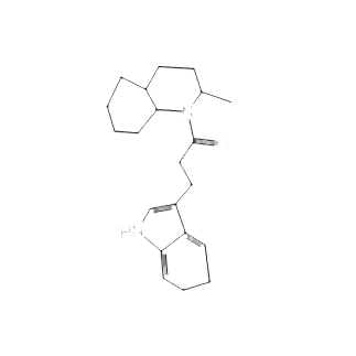 CC1CCC2CCCCC2N1C(=O)CCc1c[nH]c2c1=CCCC=2